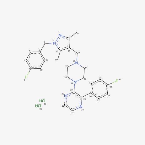 Cc1nn(Cc2ccc(F)cc2)c(C)c1CN1CCN(c2nccnc2-c2ccc(F)cc2)CC1.Cl.Cl